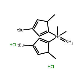 CC1C=C(C(C)(C)C)C=[C]1[Hf]([CH3])([CH3])(=[SiH2])[C]1=CC(C(C)(C)C)=CC1C.Cl.Cl